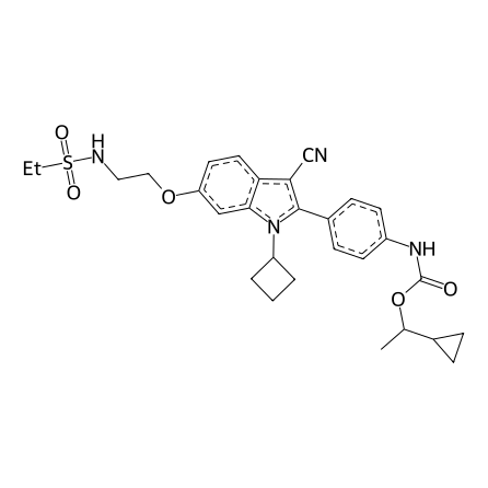 CCS(=O)(=O)NCCOc1ccc2c(C#N)c(-c3ccc(NC(=O)OC(C)C4CC4)cc3)n(C3CCC3)c2c1